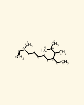 C=CN(C)CCCCCC(CC)C(C)C(C)C